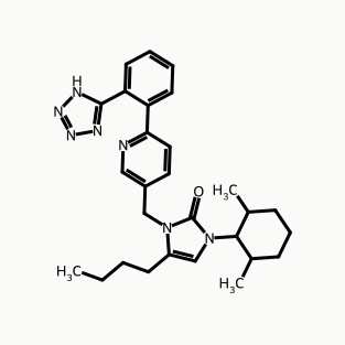 CCCCc1cn(C2C(C)CCCC2C)c(=O)n1Cc1ccc(-c2ccccc2-c2nnn[nH]2)nc1